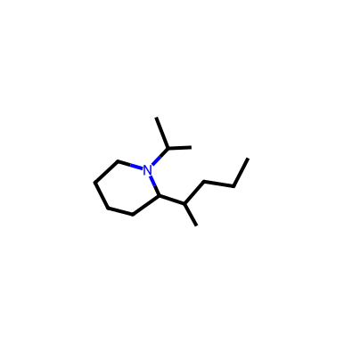 CCCC(C)C1CCCCN1C(C)C